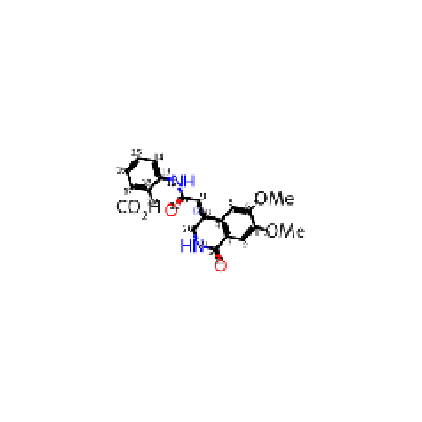 COc1cc2c(cc1OC)/C(=C/C(=O)Nc1ccccc1C(=O)O)CNC2=O